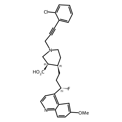 COc1ccc2nccc([C@@H](F)CC[C@@H]3CCN(CC#Cc4ccccc4Cl)C[C@@H]3C(=O)O)c2c1